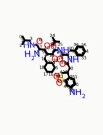 CC(C)CNC(=O)C(N)[C@@H](O)[C@H](CC1CCCCC1)C(=O)[C@H](CC(C)C)NC(=O)[C@H](Cc1ccccc1)NC(=O)CC1CS(=O)(=O)c2cc(N)ccc21